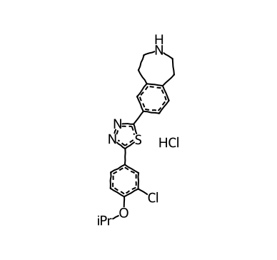 CC(C)Oc1ccc(-c2nnc(-c3ccc4c(c3)CCNCC4)s2)cc1Cl.Cl